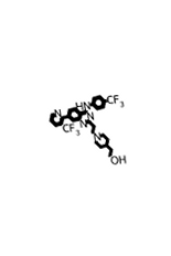 OCCC1CCN(CCc2nc(Nc3ccc(C(F)(F)F)cc3)c3ccc(-c4ncccc4C(F)(F)F)cc3n2)CC1